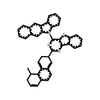 CC1CC=Cc2ccc3c(c21)=CCC(c1nc(-n2c4ccccc4c4cc5ccccc5cc42)c2sc4ccccc4c2n1)C=3